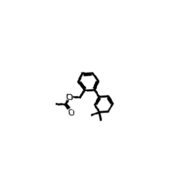 CC(=O)OCc1ccccc1C1=CC(C)(C)CC=C1